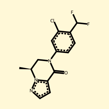 C[C@H]1CN(c2ccc(C(F)F)c(Cl)c2)C(=O)c2ccnn21